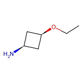 CCO[C@H]1C[C@@H](N)C1